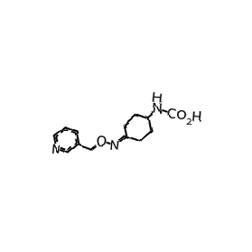 O=C(O)NC1CCC(=NOCc2cccnc2)CC1